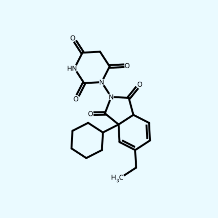 CCC1=CC2(C3CCCCC3)C(=O)N(N3C(=O)CC(=O)NC3=O)C(=O)C2C=C1